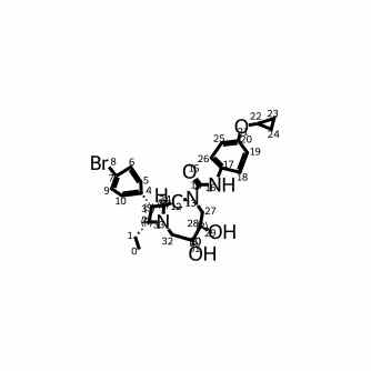 CC[C@@H]1[C@H](c2ccc(Br)cc2)[C@@H]2CN(C(=O)Nc3ccc(OC4CC4)cc3)C[C@@H](O)[C@@H](O)CN12